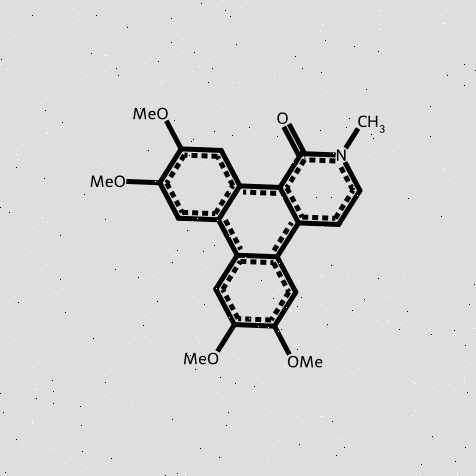 COc1cc2c(cc1OC)c1ccn(C)c(=O)c1c1cc(OC)c(OC)cc21